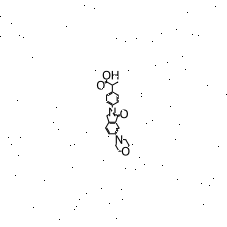 CC(C(=O)O)c1ccc(N2Cc3ccc(N4CCOCC4)cc3C2=O)cc1